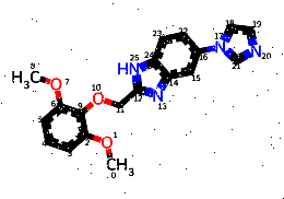 COc1cccc(OC)c1OCc1nc2cc(-n3ccnc3)ccc2[nH]1